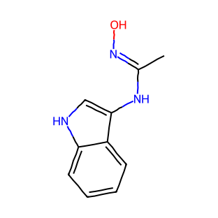 CC(=NO)Nc1c[nH]c2ccccc12